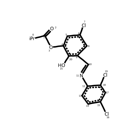 CC(C)C(=O)Oc1cc(Cl)cc(C=Nc2ccc(Cl)cc2Cl)c1O